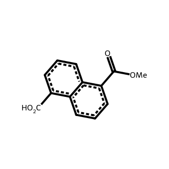 COC(=O)c1cccc2c(C(=O)O)cccc12